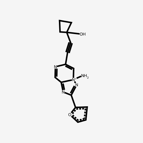 N[N+]12C=C(C#CC3(O)CCC3)N=CC1=NC(c1ccco1)=N2